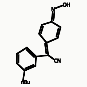 CCCCc1cccc(C(C#N)=C2C=CC(=NO)C=C2)c1